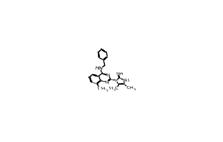 Cc1[nH]c(=N)n(-c2nc(NCc3ccccc3)c3cccc(C)c3n2)c1C